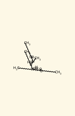 CCCCCCCCCCCCCCCOC(=O)CCCNCC(O)CN(CCCCCCCCCCCCCC)CCCCN(CCCCCCCCCCCCCC)CC(O)CN(CCCC)CCCC(=O)OCCCCCCCCCCCCCCC